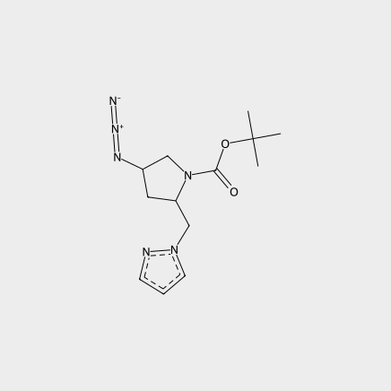 CC(C)(C)OC(=O)N1CC(N=[N+]=[N-])CC1Cn1cccn1